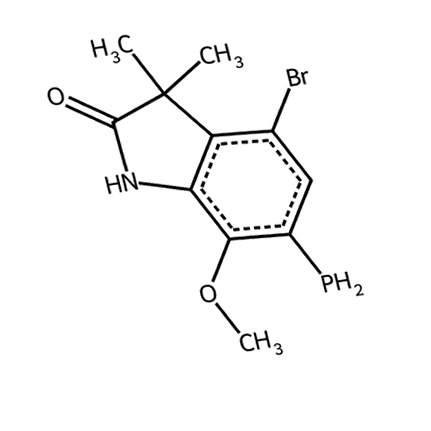 COc1c(P)cc(Br)c2c1NC(=O)C2(C)C